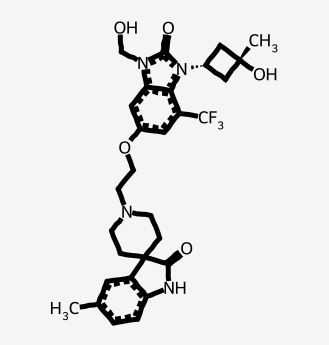 Cc1ccc2c(c1)C1(CCN(CCOc3cc(C(F)(F)F)c4c(c3)n(CO)c(=O)n4[C@H]3C[C@@](C)(O)C3)CC1)C(=O)N2